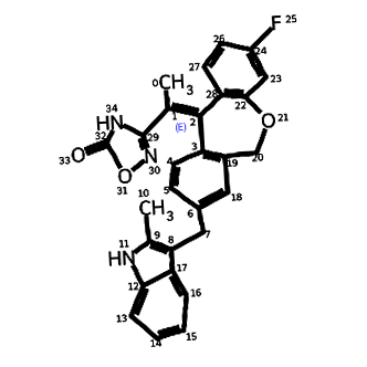 C/C(=C1/c2ccc(Cc3c(C)[nH]c4ccccc34)cc2COc2cc(F)ccc21)c1noc(=O)[nH]1